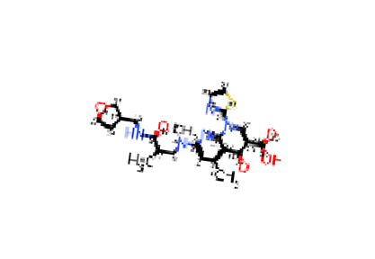 Cc1cc(N(C)CC(C)C(=O)NCC2CCOC2)nc2c1c(=O)c(C(=O)O)cn2-c1nccs1